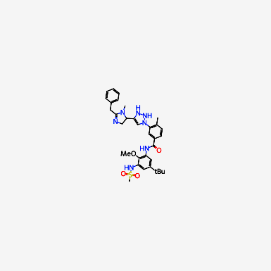 COc1c(NC(=O)c2ccc(C)c(N3C=C(C4CN=C(Cc5ccccc5)N4C)NN3)c2)cc(C(C)(C)C)cc1NS(C)(=O)=O